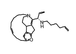 C=CCCCCN[C@@H](C=C)C1=C2Cc3oc4cc3C2CCN1CCCC/C=C\CC4